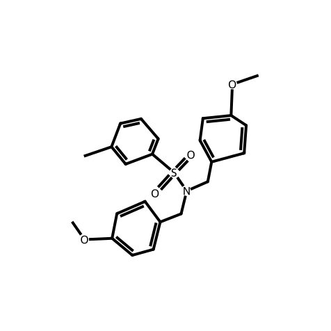 COc1ccc(CN(Cc2ccc(OC)cc2)S(=O)(=O)c2cccc(C)c2)cc1